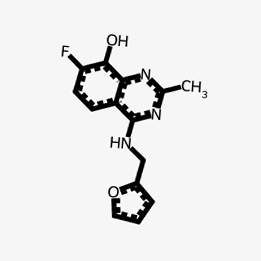 Cc1nc(NCc2ccco2)c2ccc(F)c(O)c2n1